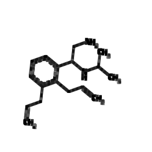 C=CCc1cccc(C(CN)NC(C)C)c1CC=C